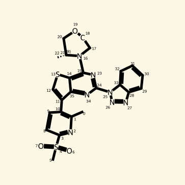 Cc1nc(S(C)(=O)=O)ccc1-c1csc2c(N3CCOC[C@H]3C)nc(-n3nnc4ccccc43)nc12